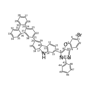 Brc1ccc2c(c1)oc1c(-c3ccc4c(c3)NC3C=CC(c5ccc6c7ccccc7c7ccccc7c6c5)=CC43)nc(-c3ccccc3)nc12